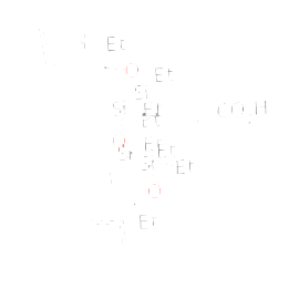 C=C(C)C(=O)O.CCC1(c2ccccc2)CC[Si](CC)(O[Si]2(CC)CCC(CC)(c3ccccc3)O[Si]2(CC)CC)[Si](CC)(CC)O1